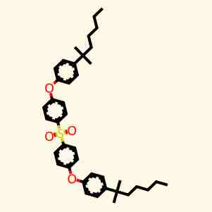 CCCCCC(C)(C)c1ccc(Oc2ccc(S(=O)(=O)c3ccc(Oc4ccc(C(C)(C)CCCCC)cc4)cc3)cc2)cc1